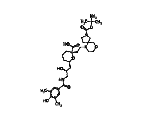 Cc1cc(C(=O)NC[C@@H](O)C[C@H]2CCC[C@](CCN3CCOCC34CCN(C(=O)OC(C)(C)N)C4)(C(=O)O)O2)cc(C)c1O